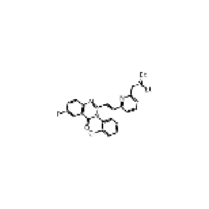 CCN(CC)Cc1cccc(C=Cc2nc3ccc(F)cc3c(=O)n2-c2ccccc2Cl)n1